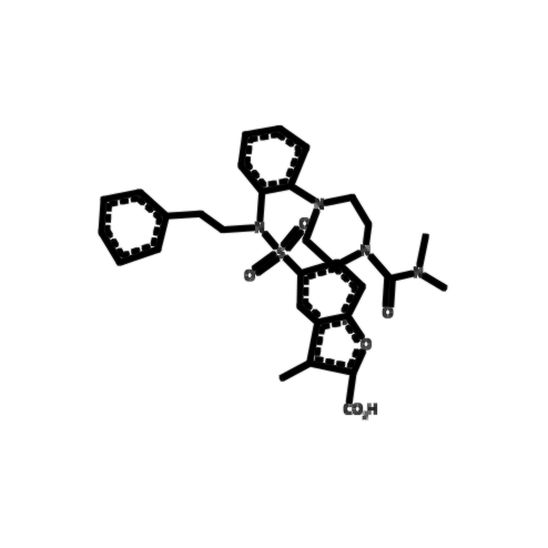 Cc1c(C(=O)O)oc2ccc(S(=O)(=O)N(CCc3ccccc3)c3ccccc3N3CCN(C(=O)N(C)C)CC3)cc12